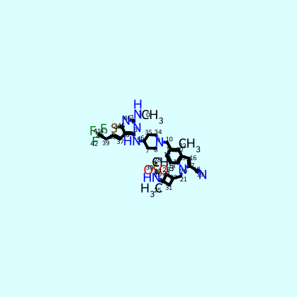 CNc1nc(NC2CCN(Cc3ccc4c(cc(C#N)n4CC4CC(C)(NS(C)(=O)=O)C4)c3C)CC2)c2cc(CC(F)(F)F)sc2n1